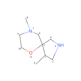 CC1CNCC12CN(C)CCO2